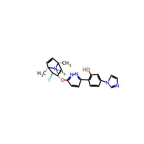 CN1[C@@]2(C)C=C[C@]1(C)[C@H](F)[C@@H](Oc1ccc(-c3ccc(-n4ccnc4)cc3O)nn1)C2